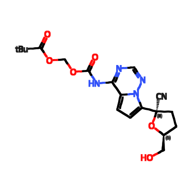 CC(C)(C)C(=O)OCOC(=O)Nc1ncnn2c([C@@]3(C#N)CC[C@@H](CO)O3)ccc12